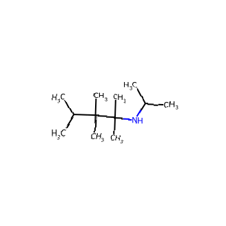 CC(C)NC(C)(C)C(C)(C)C(C)C